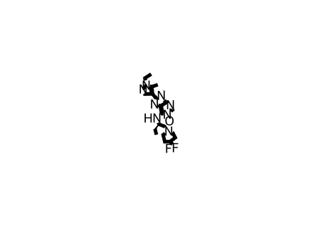 CC[C@@H](Nc1ncnc2c1nc(-c1cnn(CC)c1C)n2C)C(=O)N1CCC(F)(F)CC1